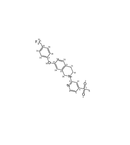 CS(=O)(=O)c1ccnc(N2CCc3ccc(Oc4ccc(C(F)(F)F)cc4)cc3C2)c1